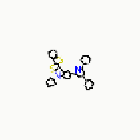 c1ccc(-c2cc(-c3ccccc3)nc(-c3ccc4c(c3)c3c5sc6ccccc6c5sc3n4-c3ccccc3)c2)cc1